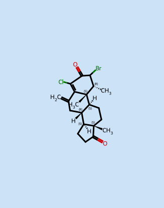 C=C1C[C@@H]2[C@H](CC[C@]3(C)C(=O)CC[C@@H]23)[C@]2(C)C1=C(Cl)C(=O)C(Br)[C@@H]2C